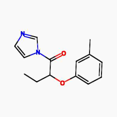 CCC(Oc1cccc(C)c1)C(=O)n1ccnc1